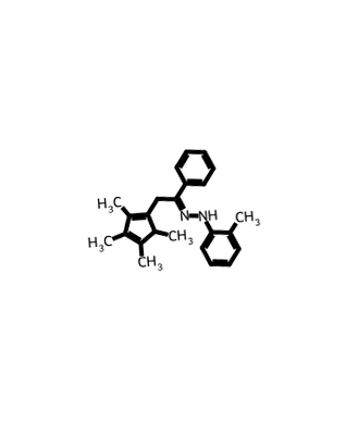 CC1=C(C)C(C)C(CC(=NNc2ccccc2C)c2ccccc2)=C1C